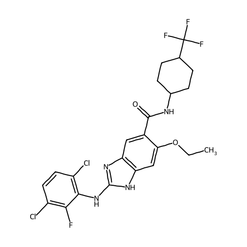 CCOc1cc2[nH]c(Nc3c(Cl)ccc(Cl)c3F)nc2cc1C(=O)NC1CCC(C(F)(F)F)CC1